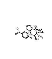 C[C@]1(C2CC2)C(=N)N[C@@]2(c3cc([N+](=O)[O-])ccc3F)COC[C@H]2S1(=O)=O